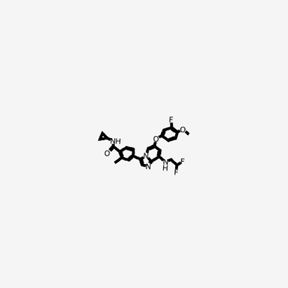 COc1ccc(Oc2cc(NCC(F)F)c3ncc(-c4ccc(C(=O)NC5CC5)c(C)c4)n3c2)cc1F